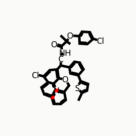 Cc1ccc(-c2cccc(C(CNC(=O)C(C)(C)Oc3ccc(Cl)cc3)c3cc(Cl)c4cccnc4c3OCc3ccccc3)c2)s1